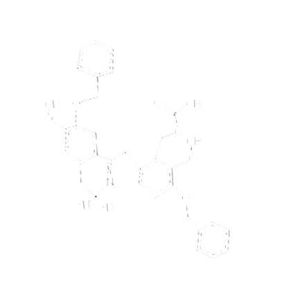 [2H]C1([2H])Cc2cc(OC)c(OCc3ccccc3)cc2C(Cc2ccc(OCc3ccccc3)c(OC)c2COC(C)=O)=N1